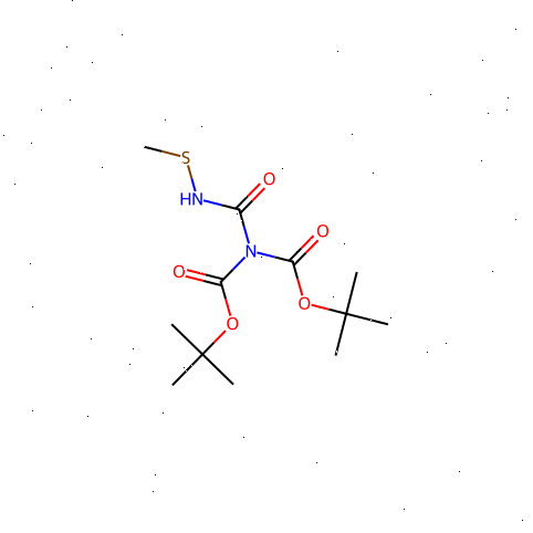 CSNC(=O)N(C(=O)OC(C)(C)C)C(=O)OC(C)(C)C